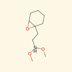 CO[SiH](CCC12CCCCC1O2)OC